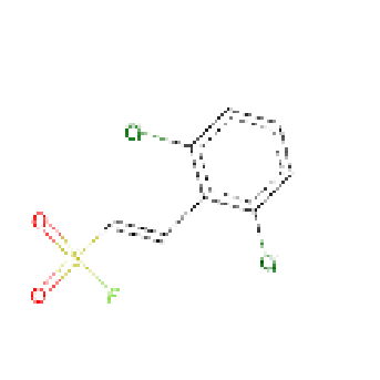 O=S(=O)(F)/C=C/c1c(Cl)cccc1Cl